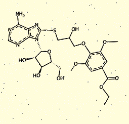 CCOC(=O)c1cc(OC)c(OCC(O)CSc2nc3c(N)ncnc3n2[C@@H]2O[C@H](CO)[C@@H](O)[C@H]2O)c(OC)c1